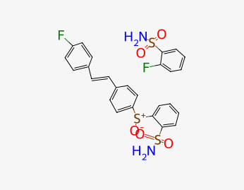 NS(=O)(=O)c1ccccc1F.NS(=O)(=O)c1ccccc1[S+]([O-])c1ccc(/C=C/c2ccc(F)cc2)cc1